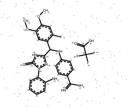 COc1cc(F)c(C(Nc2ccc(C(=N)N)cc2)c2nn(-c3ccccc3N)c(=O)[nH]2)cc1OC.O=C(O)C(F)(F)F